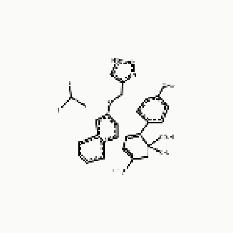 COc1ccc(C2=CC=C(C(=O)O)CC2(C)C(=O)O)cc1.FC(F)F.c1ccc2cc(OCc3c[nH]nn3)ccc2c1